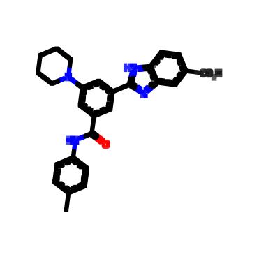 Cc1ccc(NC(=O)c2cc(-c3nc4cc(C(=O)O)ccc4[nH]3)cc(N3CCCCC3)c2)cc1